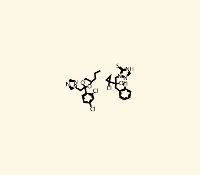 CCCC1COC(Cn2cncn2)(c2ccc(Cl)cc2Cl)O1.OC(Cc1ccccc1Cl)(Cn1nc[nH]c1=S)C1(Cl)CC1